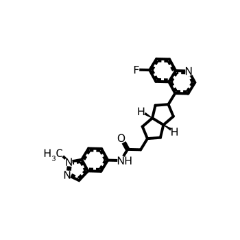 Cn1ncc2cc(NC(=O)CC3C[C@@H]4CC(c5ccnc6ccc(F)cc56)C[C@@H]4C3)ccc21